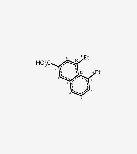 CCc1cccc2cc(C(=O)O)cc(CC)c12